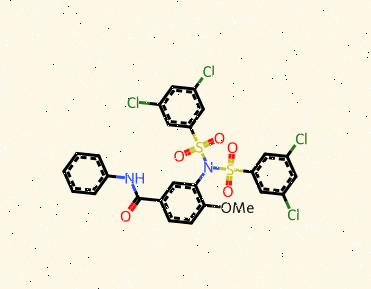 COc1ccc(C(=O)Nc2ccccc2)cc1N(S(=O)(=O)c1cc(Cl)cc(Cl)c1)S(=O)(=O)c1cc(Cl)cc(Cl)c1